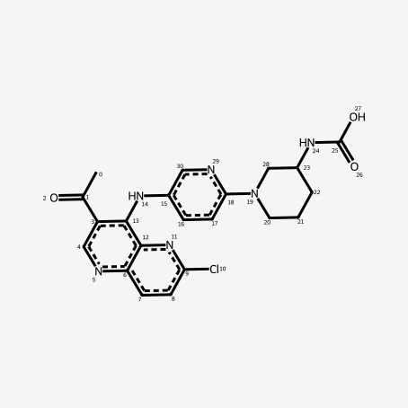 CC(=O)c1cnc2ccc(Cl)nc2c1Nc1ccc(N2CCCC(NC(=O)O)C2)nc1